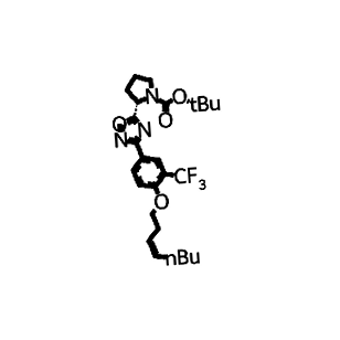 CCCC/C=C\CCOc1ccc(-c2noc([C@@H]3CCCN3C(=O)OC(C)(C)C)n2)cc1C(F)(F)F